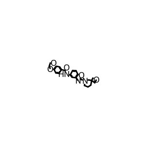 O=C(Nc1ccc2oc(N3CCCC4(COC4)C3)nc2c1)c1ccc2c(c1)OCCO2